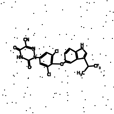 CC(c1c[nH]c2ccc(Oc3c(Cl)cc(-n4nc(C#N)c(=O)[nH]c4=O)cc3Cl)cc12)C(F)(F)F